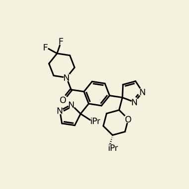 CC(C)[C@@H]1CCC(C2(c3ccc(C(=O)N4CCC(F)(F)CC4)c(C4(C(C)C)C=CN=N4)c3)C=CN=N2)OC1